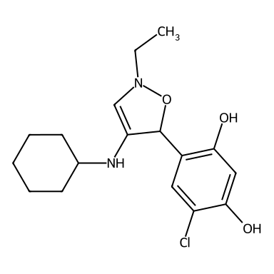 CCN1C=C(NC2CCCCC2)C(c2cc(Cl)c(O)cc2O)O1